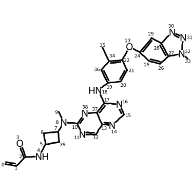 C=CC(=O)NC1CC(N(C)c2ncc3ncnc(Nc4ccc(Oc5ccc6c(c5)nnn6C)c(C)c4)c3n2)C1